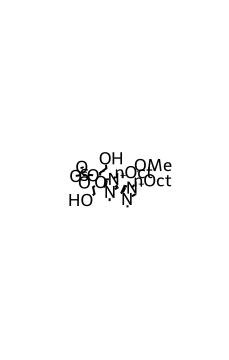 CCCCCCCC[n+]1ccn(C)c1.CCCCCCCC[n+]1ccn(C)c1.COC.O=S(=O)([O-])[O-].OCCOCCO